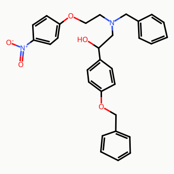 O=[N+]([O-])c1ccc(OCCN(Cc2ccccc2)CC(O)c2ccc(OCc3ccccc3)cc2)cc1